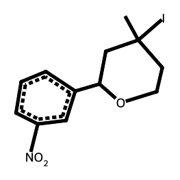 CC1(I)CCOC(c2cccc([N+](=O)[O-])c2)C1